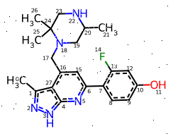 Cc1n[nH]c2nc(-c3ccc(O)cc3F)cc(CN3CC(C)NCC3(C)C)c12